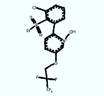 CCS(=O)(=O)c1c(Cl)cccc1-c1ccc(OCC(F)(F)C(F)(F)F)c[n+]1O